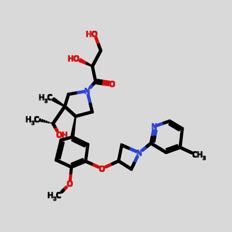 COc1ccc([C@@H]2CN(C(=O)[C@@H](O)CO)C[C@@]2(C)[C@@H](C)O)cc1OC1CN(c2cc(C)ccn2)C1